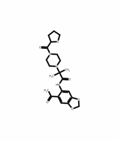 CC(=O)c1cc2c(cc1NC(=O)C(C)(C)N1CCN(C(=O)C3CCCO3)CC1)OCO2